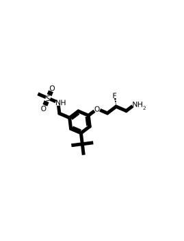 CC(C)(C)c1cc(CNS(C)(=O)=O)cc(OC[C@H](F)CN)c1